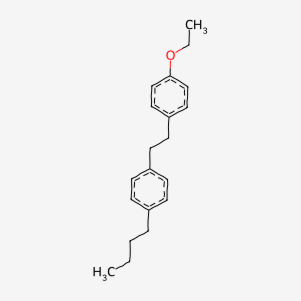 CCCCc1ccc(CCc2ccc(OCC)cc2)cc1